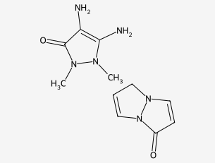 Cn1c(N)c(N)c(=O)n1C.O=c1ccn2n1C=CC2